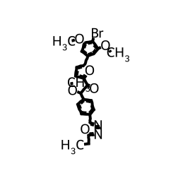 CCc1nnc(-c2ccc(C(OC)C(=O)c3ccc(-c4cc(OC)c(Br)c(OC)c4)o3)cc2)o1